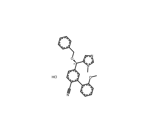 COc1ccccc1-c1cc([C@@H](OCc2ccccc2)c2cncn2C)ccc1C#N.Cl